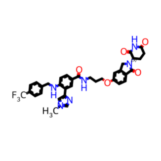 Cn1cnc(-c2cc(C(=O)NCCCOc3ccc4c(c3)CN([C@H]3CCC(=O)NC3=O)C4=O)ccc2NCc2ccc(C(F)(F)F)cc2)c1